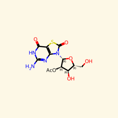 CC(=O)O[C@@H]1[C@H](O)[C@@H](CO)O[C@H]1n1c(=O)sc2c(=O)[nH]c(N)nc21